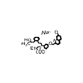 CCC(CSC(CCc1ccccc1CC(C)O)c1cccc(OCc2ccc3ccc(Cl)cc3n2)c1)C(=O)[O-].[Na+]